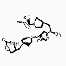 CN(CC1CCN(C(=O)OC(C)(C)C)CC1)c1cc(Nc2ccc(CC3COC(=O)N3)cc2)ncn1